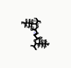 CC(C)C(OC(=O)/C=C/C(=O)OC(C(C)C)C(F)(F)C(F)(F)C(F)(F)F)C(F)(F)C(F)(F)C(F)(F)F